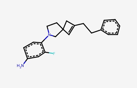 Nc1ccc(N2CCC3(C=C(CCc4ccccc4)C3)C2)c(F)c1